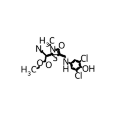 CCOC(=O)C(C#N)=c1sc(=CNc2cc(Cl)c(O)c(Cl)c2)c(=O)n1CC